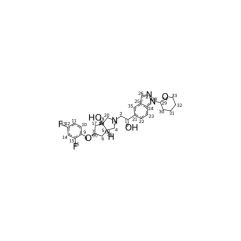 OC(CN1C[C@@H]2C[C@@H](Oc3ccc(F)cc3F)C[C@]2(O)C1)c1ccc2c(cnn2C2CCCCO2)c1